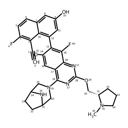 C#Cc1c(F)ccc2cc(O)cc(-c3c(Cl)cc4c(N5CC6CCC(C5)N6)nc(OC[C@@H]5CCCN5C)nc4c3F)c12